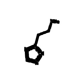 CNCCn1ncnn1